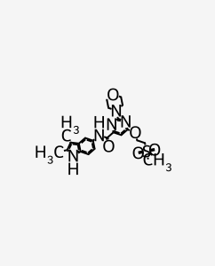 Cc1[nH]c2ccc(NC(=O)c3cc(OCCS(C)(=O)=O)nc(N4CCOCC4)n3)cc2c1C